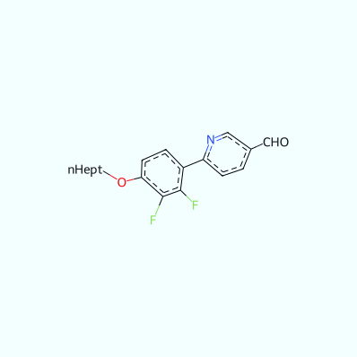 CCCCCCCOc1ccc(-c2ccc(C=O)cn2)c(F)c1F